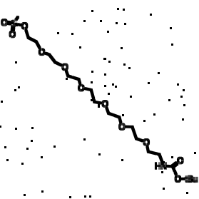 CC(C)(C)OC(=O)NCCOCCOCCOCCOCCOCCOCCOS(C)(=O)=O